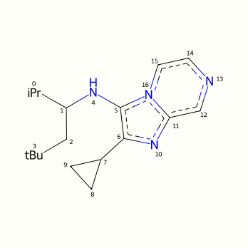 CC(C)C(CC(C)(C)C)Nc1c(C2CC2)nc2cnccn12